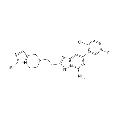 CC(C)c1ncc2n1CCN(CCc1nc3cc(-c4cc(F)ccc4Cl)nc(N)n3n1)C2